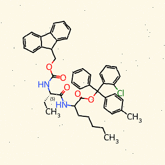 CCCCCC(NC(=O)[C@H](CC)NC(=O)OCC1c2ccccc2-c2ccccc21)C(=O)OC(c1ccccc1)(c1ccc(C)cc1)c1ccccc1Cl